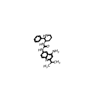 CC(C)c1cc(N)c2cc(NC(=O)NC3CCCNC3c3ccccc3)ccc2n1